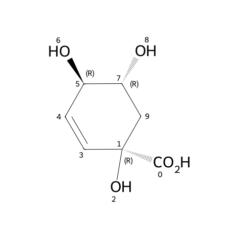 O=C(O)[C@]1(O)C=C[C@@H](O)[C@H](O)C1